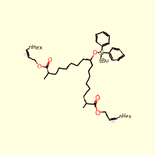 CCCCCC/C=C\COC(=O)C(C)CCCCCCC(CCCCCCC(C)C(=O)OC/C=C\CCCCCC)O[Si](c1ccccc1)(c1ccccc1)C(C)(C)C